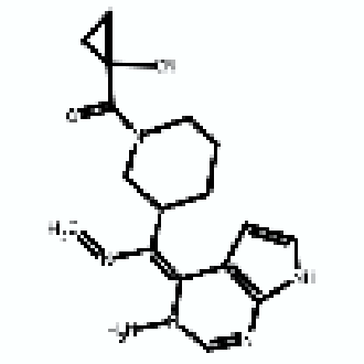 C=N/C(=C1/c2cc[nH]c2N=CN1N)[C@@H]1CCCN(C(=O)C2(C#N)CC2)C1